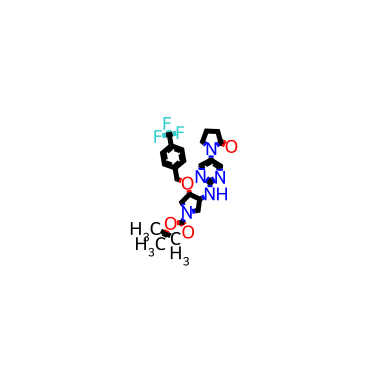 CC(C)(C)OC(=O)N1CC(Nc2ncc(N3CCCC3=O)cn2)C(OCc2ccc(C(F)(F)F)cc2)C1